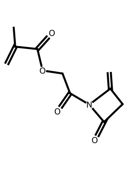 C=C(C)C(=O)OCC(=O)N1C(=C)CC1=O